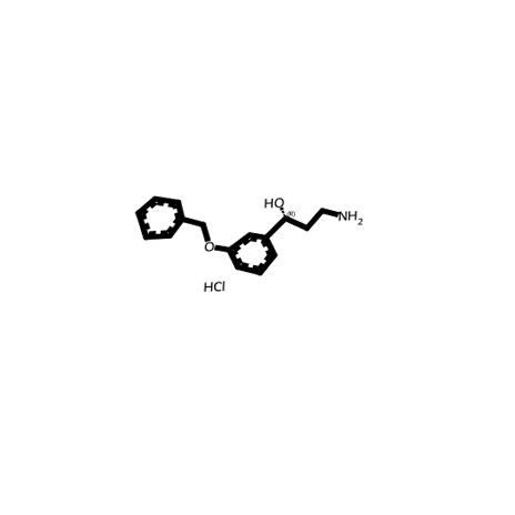 Cl.NCC[C@@H](O)c1cccc(OCc2ccccc2)c1